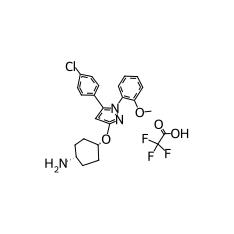 COc1ccccc1-n1nc(O[C@H]2CC[C@@H](N)CC2)cc1-c1ccc(Cl)cc1.O=C(O)C(F)(F)F